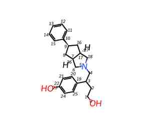 OCCC(CN1C[C@H]2C[C@@H](c3ccccc3)C[C@H]2C1)c1ccc(O)cc1